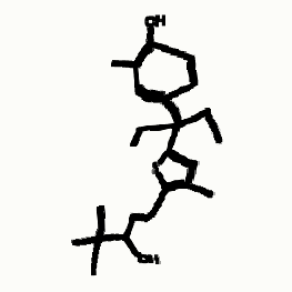 CCC(CC)(c1ccc(O)c(C)c1)c1cc(C)c(CCC(O)C(C)(C)C)s1